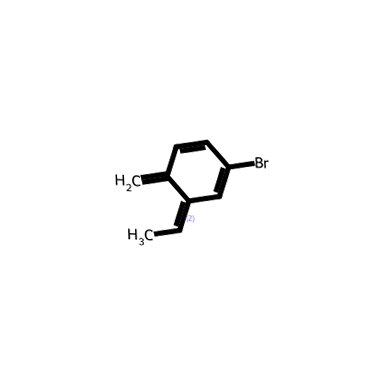 C=c1ccc(Br)c/c1=C/C